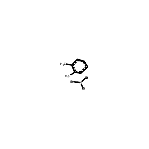 CCN(CC)CC.Cc1ccccc1C